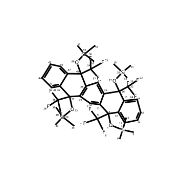 C[Si](C)(C)OC1(C(F)(F)F)c2ccccc2C(O[Si](C)(C)C)(C(F)(F)F)c2cc3c(cc21)C(O[Si](C)(C)C)(C(F)(F)F)c1ccccc1C3(O[Si](C)(C)C)C(F)(F)F